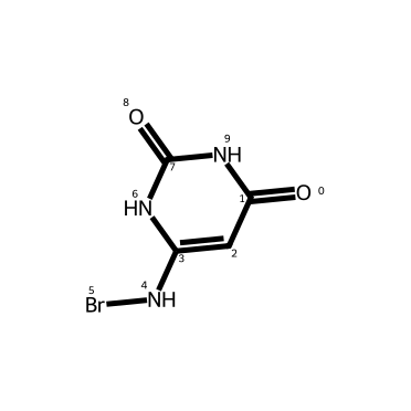 O=c1cc(NBr)[nH]c(=O)[nH]1